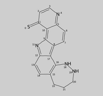 S=C1C=CN=c2ccc3c(c21)N=c1ccc2c(c1=3)NNCCC2